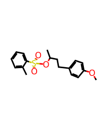 COc1ccc(CCC(C)OS(=O)(=O)c2ccccc2C)cc1